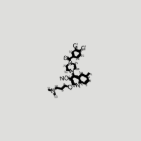 Cc1ccc2nc(OCCCN(C)C)c(C#N)c(N3CCN(C(=O)c4ccc(Cl)c(Cl)c4)CC3)c2c1